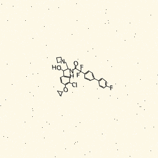 O=C(NC(CN1CCC1)C(O)c1ccc(OC2CC2)c(Cl)c1)C(F)(F)c1ccc(-c2ccc(F)cc2)cc1